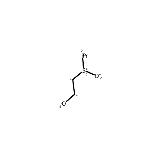 CC(C)[S+]([O-])CC[O]